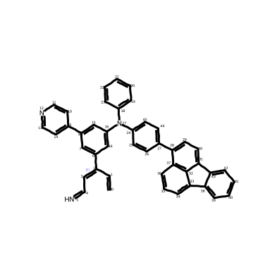 C=C/C(=C\C=N)c1cc(-c2ccncc2)cc(N(c2ccccc2)c2ccc(-c3ccc4c5c(cccc35)-c3ccccc3-4)cc2)c1